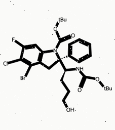 CC(C)(C)OC(=O)N[C@@H](CCCO)[C@@]1(c2ccccc2)Cc2c(cc(F)c(Cl)c2Br)N1C(=O)OC(C)(C)C